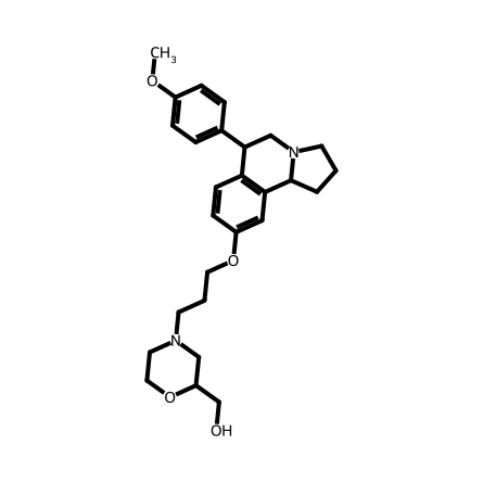 COc1ccc(C2CN3CCCC3c3cc(OCCCN4CCOC(CO)C4)ccc32)cc1